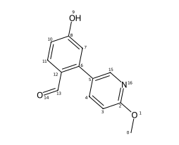 COc1ccc(-c2cc(O)ccc2C=O)cn1